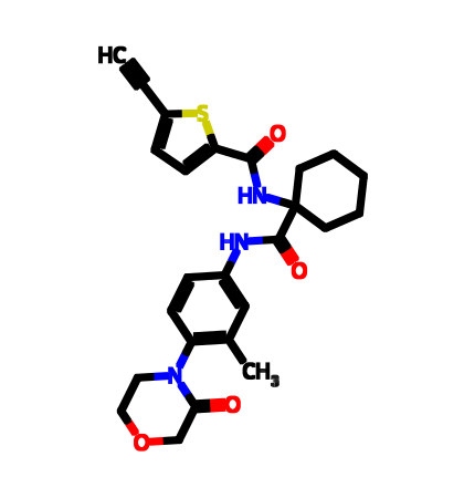 C#Cc1ccc(C(=O)NC2(C(=O)Nc3ccc(N4CCOCC4=O)c(C)c3)CCCCC2)s1